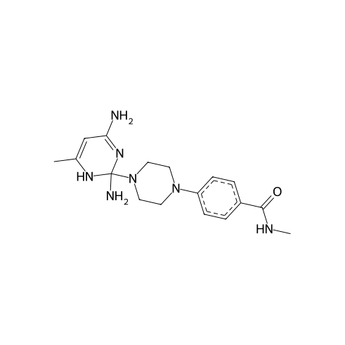 CNC(=O)c1ccc(N2CCN(C3(N)N=C(N)C=C(C)N3)CC2)cc1